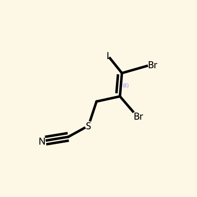 N#CSC/C(Br)=C(/Br)I